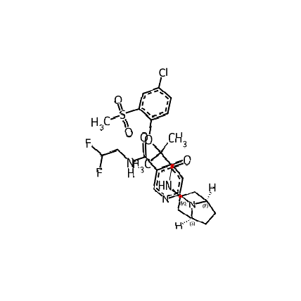 CC(C)(Oc1ccc(Cl)cc1S(C)(=O)=O)C(=O)N[C@H]1C[C@H]2CC[C@@H](C1)N2c1ccc(C(=O)NCC(F)F)cn1